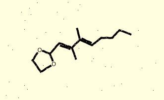 CCCC/C=C(C)/C(C)=C/C1OCCO1